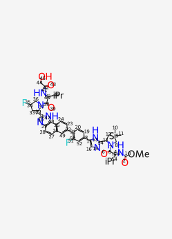 COC(=O)N[C@H](C(=O)N1C[Si](C)(C)CC1c1ncc(-c2ccc(-c3ccc4c(ccc5nc([C@@H]6CC(F)CN6C(=O)[C@@H](NC(=O)CO)C(C)C)[nH]c54)c3)c(F)c2)[nH]1)C(C)C